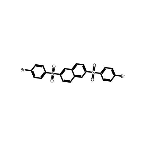 O=S(=O)(c1ccc(Br)cc1)c1ccc2cc(S(=O)(=O)c3ccc(Br)cc3)ccc2c1